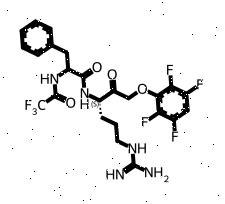 N=C(N)NCCC[C@H](NC(=O)C(Cc1ccccc1)NC(=O)C(F)(F)F)C(=O)COc1c(F)c(F)cc(F)c1F